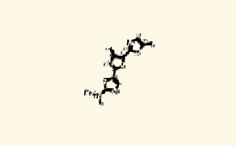 CCN(C)c1ncc(-c2nc(C)c(-c3ncc(C)s3)s2)s1